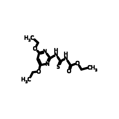 CCOC(=O)NC(=S)Nc1nc(OCC)cc(OCC)n1